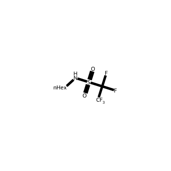 CCCCCCNS(=O)(=O)C(F)(F)C(F)(F)F